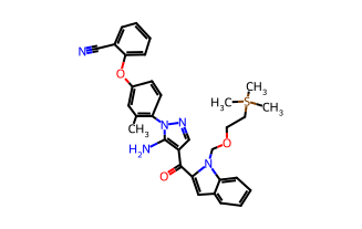 Cc1cc(Oc2ccccc2C#N)ccc1-n1ncc(C(=O)c2cc3ccccc3n2COCCS(C)(C)C)c1N